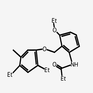 CCOc1cccc(NC(=O)CC)c1COc1cc(C)c(CC)cc1CC